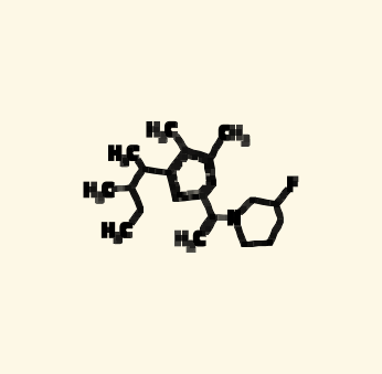 C=C(c1cc(C)c(C)c(C(C)C(C)CC)c1)N1CCCC(F)C1